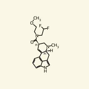 COCCN(CC(F)F)C(=O)[C@@H]1C=C2c3cccc4[nH]cc(c34)C[C@H]2N(C)C1